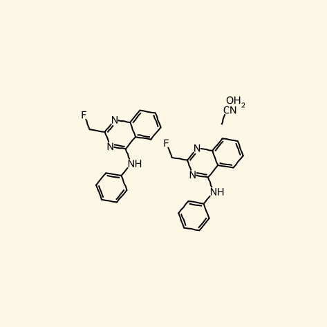 CC#N.FCc1nc(Nc2ccccc2)c2ccccc2n1.FCc1nc(Nc2ccccc2)c2ccccc2n1.O